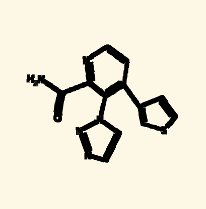 NC(=O)c1nccc(-c2ccsc2)c1-n1ccnn1